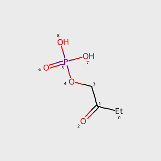 CCC(=O)COP(=O)(O)O